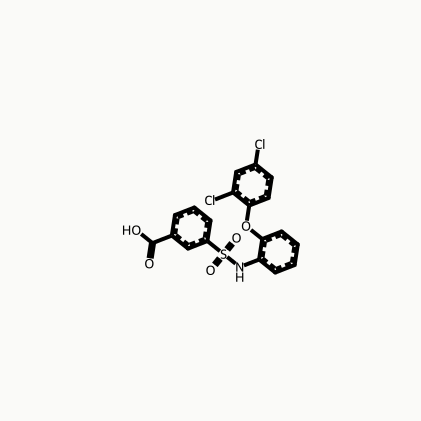 O=C(O)c1cccc(S(=O)(=O)Nc2ccccc2Oc2ccc(Cl)cc2Cl)c1